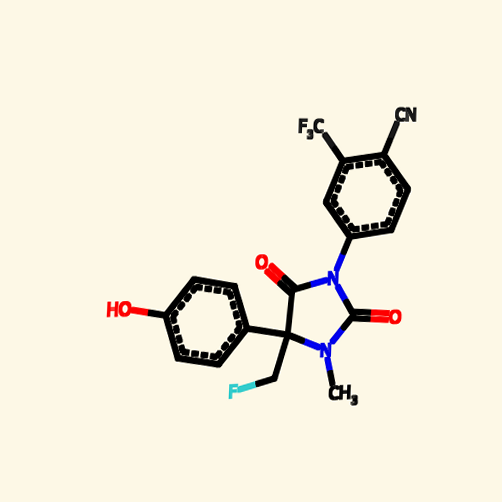 CN1C(=O)N(c2ccc(C#N)c(C(F)(F)F)c2)C(=O)C1(CF)c1ccc(O)cc1